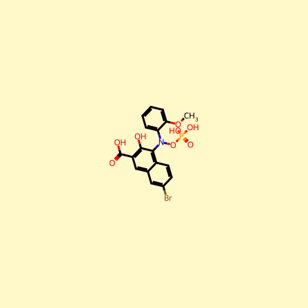 COc1ccccc1N(OP(=O)(O)O)c1c(O)c(C(=O)O)cc2cc(Br)ccc12